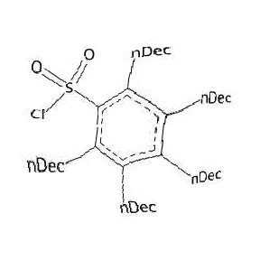 CCCCCCCCCCc1c(CCCCCCCCCC)c(CCCCCCCCCC)c(S(=O)(=O)Cl)c(CCCCCCCCCC)c1CCCCCCCCCC